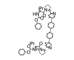 CC(C)[C@@H](NC(=O)Oc1ccccc1)C(=O)N1CCC[C@H]1c1ncc(-c2ccc(-c3ccc(-c4cnc([C@@H]5CCCN5C(=O)[C@H](NC(=O)Oc5ccccc5)C(C)C)s4)cc3)cc2)s1